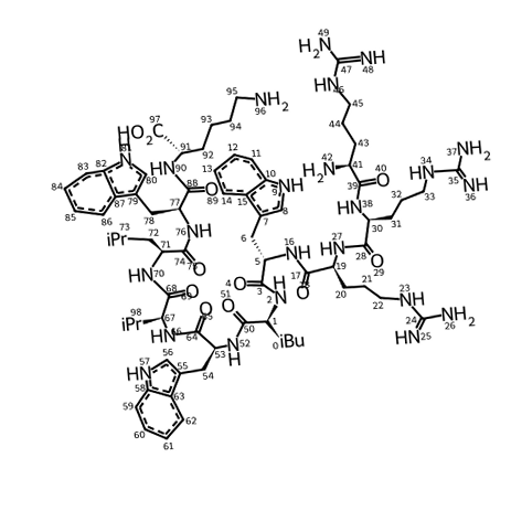 CC[C@H](C)[C@H](NC(=O)[C@H](Cc1c[nH]c2ccccc12)NC(=O)[C@H](CCCNC(=N)N)NC(=O)[C@H](CCCNC(=N)N)NC(=O)[C@@H](N)CCCNC(=N)N)C(=O)N[C@@H](Cc1c[nH]c2ccccc12)C(=O)N[C@H](C(=O)N[C@@H](CC(C)C)C(=O)N[C@@H](Cc1c[nH]c2ccccc12)C(=O)N[C@@H](CCCCN)C(=O)O)C(C)C